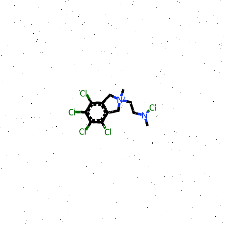 CN(Cl)CC[N+]1(C)Cc2c(Cl)c(Cl)c(Cl)c(Cl)c2C1